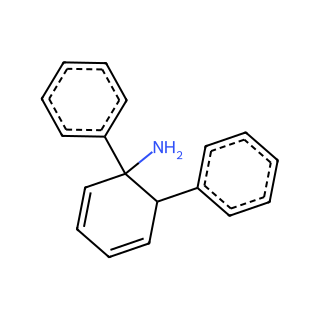 NC1(c2ccccc2)C=CC=CC1c1ccccc1